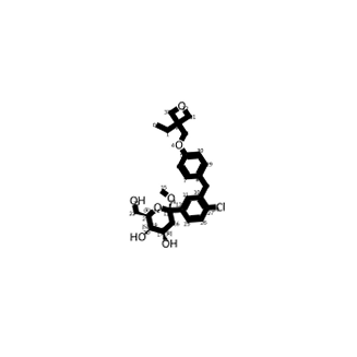 CCC1(COc2ccc(Cc3cc([C@@]4(OC)C[C@@H](O)[C@H](O)[C@@H](CO)O4)ccc3Cl)cc2)COC1